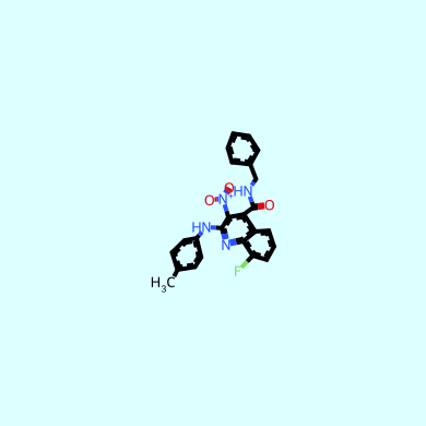 Cc1ccc(Nc2nc3c(F)cccc3c(C(=O)NCc3ccccc3)c2[N+](=O)[O-])cc1